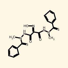 CN(NC(=O)C(=NO)C(=O)NN(C)C(=S)c1ccccc1)C(=S)c1ccccc1